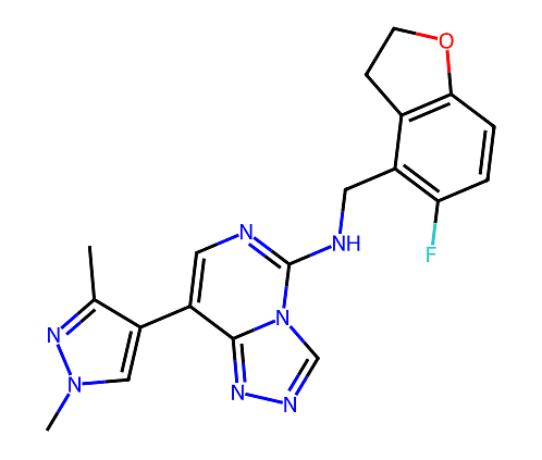 Cc1nn(C)cc1-c1cnc(NCc2c(F)ccc3c2CCO3)n2cnnc12